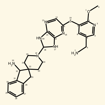 COc1ncc(CN)cc1Sc1cnc2c(n1)NC(N1CCC3(CC1)Cc1ccccc1C3N)N2